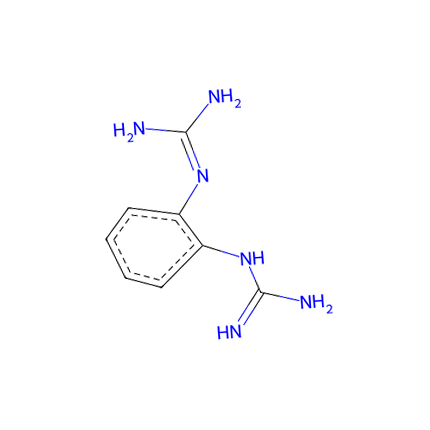 N=C(N)Nc1ccccc1N=C(N)N